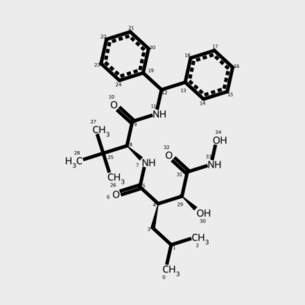 CC(C)C[C@@H](C(=O)N[C@H](C(=O)NC(c1ccccc1)c1ccccc1)C(C)(C)C)[C@H](O)C(=O)NO